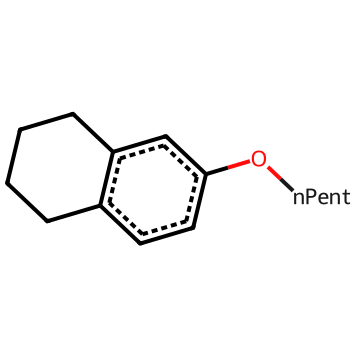 CCCCCOc1ccc2c(c1)CCCC2